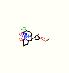 CCOc1ccc(/C(=C/[C@H]2CCC(=O)N2)c2ccc(Cl)c(=O)[nH]2)cc1C